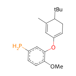 COc1ccc(P)cc1OC1=CCC(C(C)(C)C)C(C)=C1